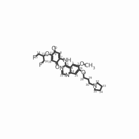 COc1cc2c(NC3=CC(=O)C(OC(CF)CF)=CC3=O)ncnc2cc1OCCCN1CCCC1